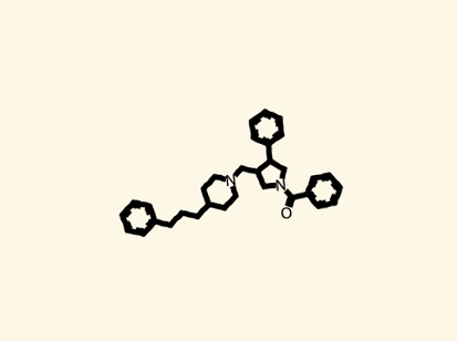 O=C(c1ccccc1)N1CC(CN2CCC(CCCc3ccccc3)CC2)C(c2ccccc2)C1